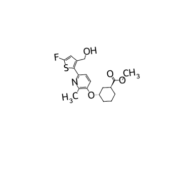 COC(=O)[C@H]1CCC[C@H](Oc2ccc(-c3sc(F)cc3CO)nc2C)C1